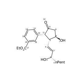 CCCCC[C@H](O)/C=C/[C@H]1[C@H](O)CC(=O)[C@H]1c1cccc(C(=O)OCC)c1